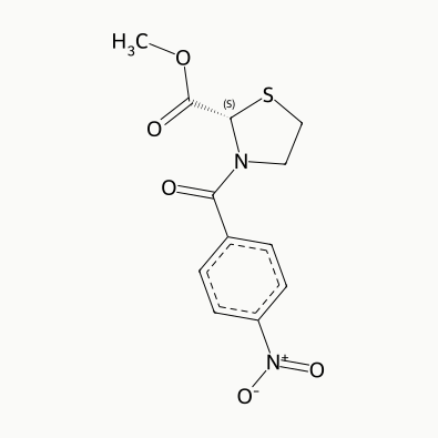 COC(=O)[C@@H]1SCCN1C(=O)c1ccc([N+](=O)[O-])cc1